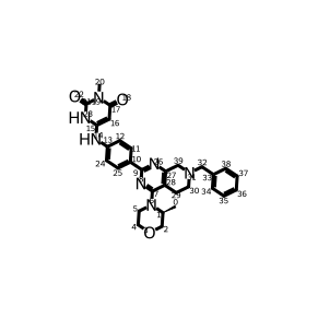 C[C@H]1COCCN1c1nc(-c2ccc(Nc3cc(=O)n(C)c(=O)[nH]3)cc2)nc2c1CCN(Cc1ccccc1)C2